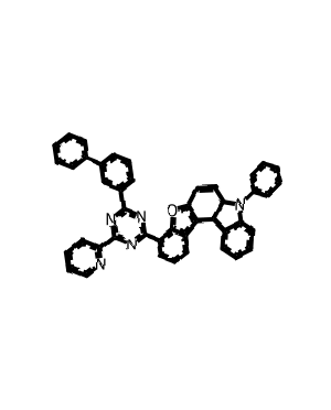 C1=CC2C(c3ccccc3N2c2ccccc2)c2c1oc1c(-c3nc(-c4cccc(-c5ccccc5)c4)nc(-c4ccccn4)n3)cccc21